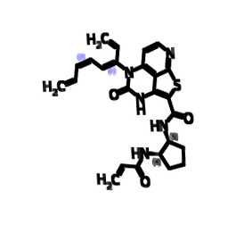 C=C/C=C\C=C(/C=C)N1C(=O)Nc2c(C(=O)N[C@H]3CCC[C@H]3NC(=O)C=C)sc3nccc1c23